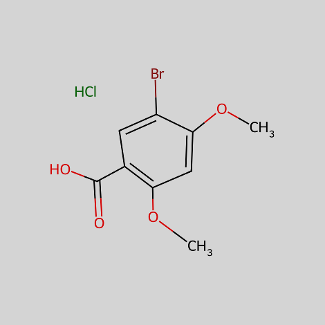 COc1cc(OC)c(C(=O)O)cc1Br.Cl